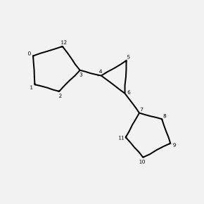 C1CCC([C]2CC2C2CCCC2)C1